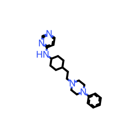 c1ccc(N2CCN(CCC3CCC(Nc4ccncn4)CC3)CC2)cc1